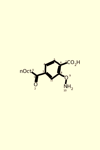 CCCCCCCCC(=O)c1ccc(C(=O)O)c(ON)c1